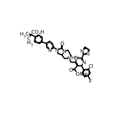 COC(=O)C1=C(CN2CCN3C(=O)N(c4ccc(-c5ccc(C(C)(C)C(=O)O)cc5)cn4)CC3C2)NC(c2nccs2)=NC1c1ccc(F)cc1Cl